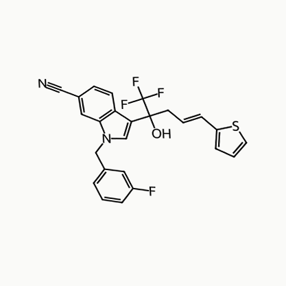 N#Cc1ccc2c(C(O)(CC=Cc3cccs3)C(F)(F)F)cn(Cc3cccc(F)c3)c2c1